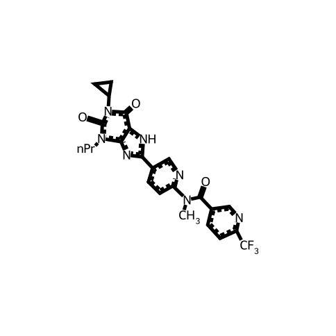 CCCn1c(=O)n(C2CC2)c(=O)c2[nH]c(-c3ccc(N(C)C(=O)c4ccc(C(F)(F)F)nc4)nc3)nc21